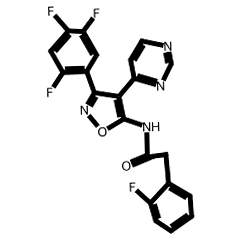 O=C(Cc1ccccc1F)Nc1onc(-c2cc(F)c(F)cc2F)c1-c1ccncn1